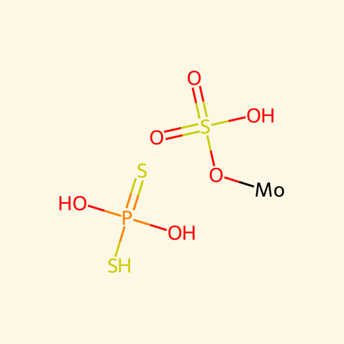 O=S(=O)(O)[O][Mo].OP(O)(=S)S